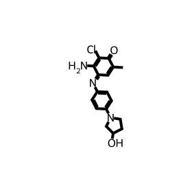 CC1=C/C(=N\c2ccc(N3CCC(O)C3)cc2)C(N)=C(Cl)C1=O